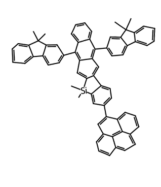 CC1(C)c2ccccc2-c2ccc(-c3c4ccccc4c(-c4ccc5c(c4)C(C)(C)c4ccccc4-5)c4cc5c(cc34)-c3ccc(-c4cc6cccc7ccc8cccc4c8c76)cc3[Si]5(C)C)cc21